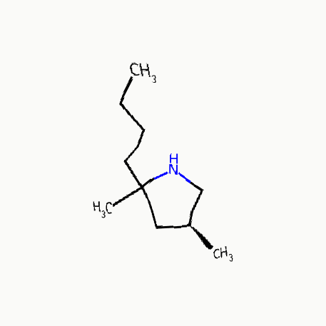 CCCCC1(C)C[C@H](C)CN1